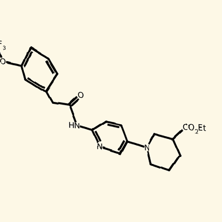 CCOC(=O)C1CCCN(c2ccc(NC(=O)Cc3cccc(OC(F)(F)F)c3)nc2)C1